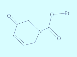 CCOC(=O)N1CC=CC(=O)C1